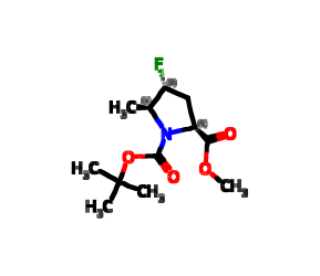 COC(=O)[C@@H]1C[C@@H](F)[C@H](C)N1C(=O)OC(C)(C)C